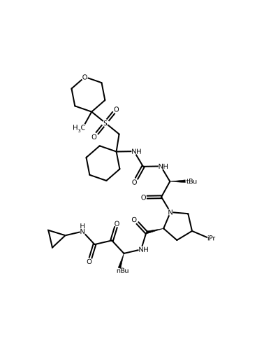 CCCC[C@H](NC(=O)[C@@H]1CC(C(C)C)CN1C(=O)[C@@H](NC(=O)NC1(CS(=O)(=O)C2(C)CCOCC2)CCCCC1)C(C)(C)C)C(=O)C(=O)NC1CC1